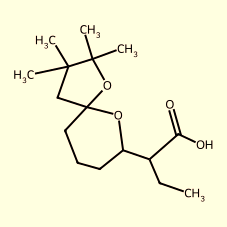 CCC(C(=O)O)C1CCCC2(CC(C)(C)C(C)(C)O2)O1